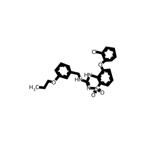 CCCOc1cccc(CNC2=NS(=O)(=O)c3cccc(Oc4ccccc4Cl)c3N2)c1